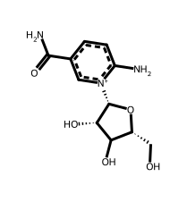 NC(=O)c1ccc(N)[n+]([C@@H]2O[C@H](CO)C(O)[C@@H]2O)c1